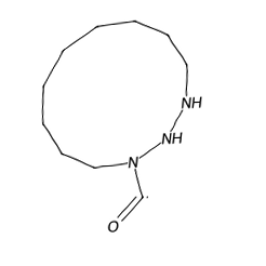 O=[C]N1CCCCCCCCCNN1